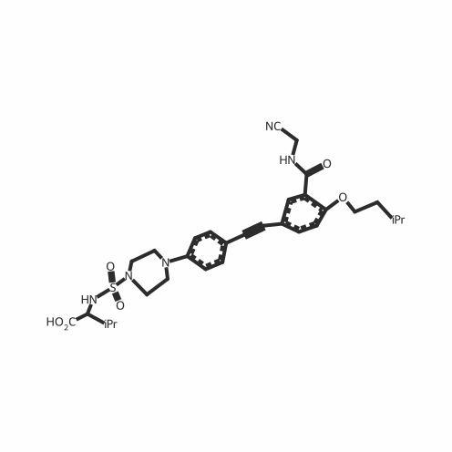 CC(C)CCOc1ccc(C#Cc2ccc(N3CCN(S(=O)(=O)NC(C(=O)O)C(C)C)CC3)cc2)cc1C(=O)NCC#N